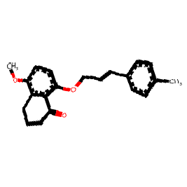 COc1ccc(OCCCc2ccc(C)cc2)c2c1CCCC2=O